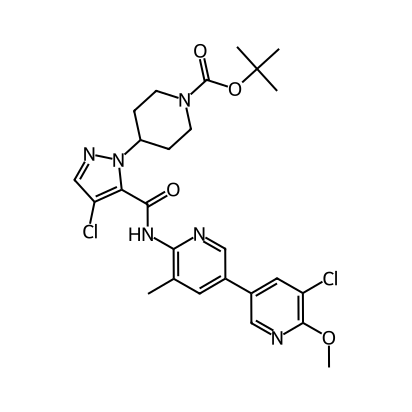 COc1ncc(-c2cnc(NC(=O)c3c(Cl)cnn3C3CCN(C(=O)OC(C)(C)C)CC3)c(C)c2)cc1Cl